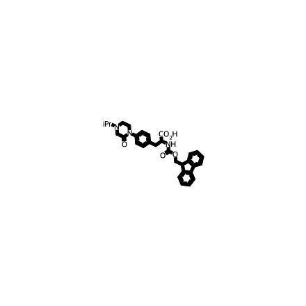 CC(C)N1CCN(c2ccc(CC(NC(=O)OCC3c4ccccc4-c4ccccc43)C(=O)O)cc2)C(=O)C1